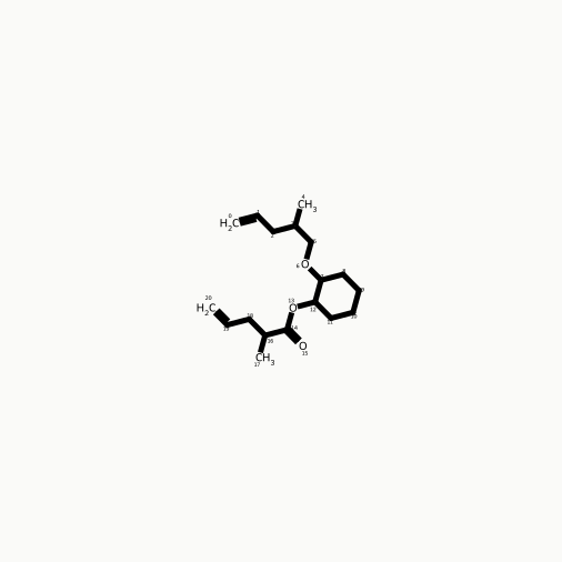 C=CCC(C)COC1CCCCC1OC(=O)C(C)CC=C